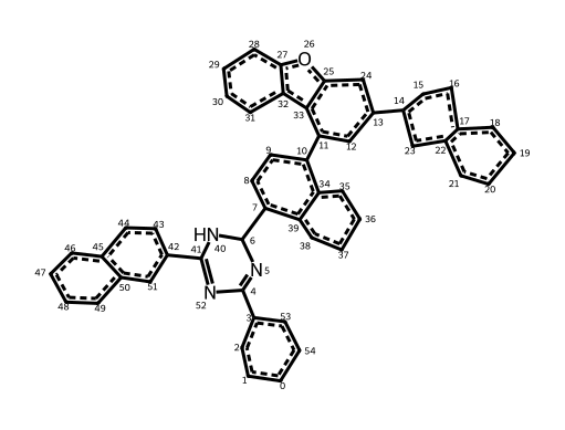 c1ccc(C2=NC(c3ccc(-c4cc(-c5ccc6ccccc6c5)cc5oc6ccccc6c45)c4ccccc34)NC(c3ccc4ccccc4c3)=N2)cc1